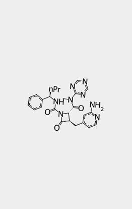 CCC[C@@H](NC(=O)N1C(=O)[C@H](Cc2ccnc(N)c2)[C@H]1C(=O)N(C)c1ncncn1)c1ccccc1